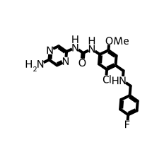 COc1cc(CNCc2ccc(F)cc2)c(Cl)cc1NC(=O)Nc1cnc(N)cn1